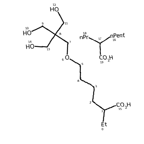 CCC(CCCCOCC(CO)(CO)CO)C(=O)O.CCCCCC(CCC)C(=O)O